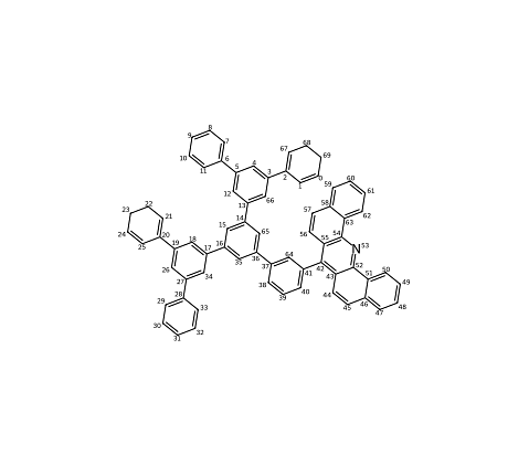 C1=CC(c2cc(-c3ccccc3)cc(-c3cc(-c4cc(C5=CCCC=C5)cc(-c5ccccc5)c4)cc(-c4cccc(-c5c6ccc7ccccc7c6nc6c5ccc5ccccc56)c4)c3)c2)=CCC1